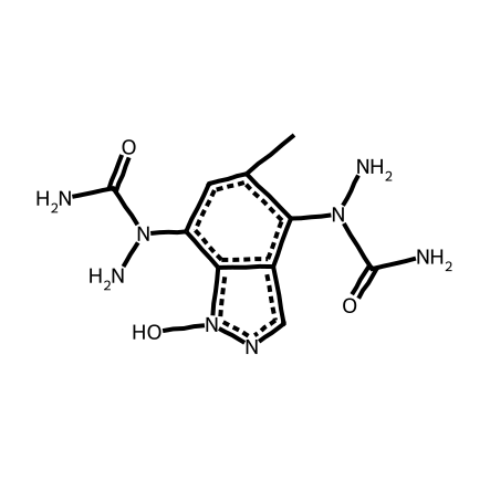 Cc1cc(N(N)C(N)=O)c2c(cnn2O)c1N(N)C(N)=O